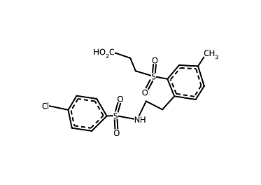 Cc1ccc(CCNS(=O)(=O)c2ccc(Cl)cc2)c(S(=O)(=O)CCC(=O)O)c1